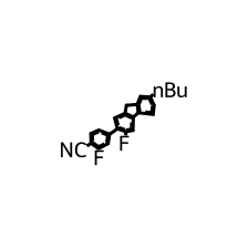 CCCCc1ccc2c(c1)Cc1cc(-c3ccc(C#N)c(F)c3)c(F)cc1-2